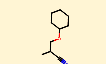 CC(C#N)COC1CCCCC1